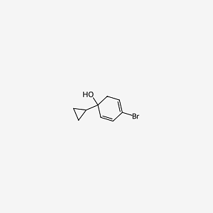 OC1(C2CC2)C=CC(Br)=CC1